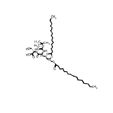 CCCCCCCCCCCCCCCC(=O)OC[C@@H](CSC[C@H](NC(=O)OC(C)(C)C)C(=O)N[C@@H](CO)C(=O)O)OC(=O)CCCCCCCCCCCCCCC